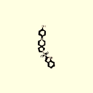 O=S(=O)(c1cc2ccccc2[nH]1)N1CCC2(CCN(c3ccc(O)cc3)CC2)C1